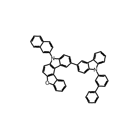 c1ccc(-c2cccc(-n3c4ccccc4c4cc(-c5ccc6c(c5)c5c7c(ccc5n6-c5ccc6ccccc6c5)oc5ccccc57)ccc43)c2)cc1